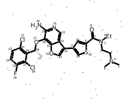 CCN(CCN(C)C)C(=O)c1cc(-c2coc3c(O[C@H](C)c4c(Cl)ccc(F)c4Cl)c(N)ncc23)cs1